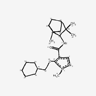 Cn1ncc(C(=O)NC2C3(C)CCC(C3)C2(C)C)c1OCC1CCCCC1